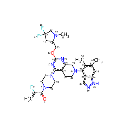 C=C(F)C(=O)N1CCN(c2nc(OCC3CC(F)(F)CN3C)nc3c2CCN(c2c(C)c(C)cc4[nH]ncc24)C3)CC1